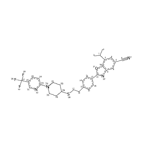 CC(C)c1cc(C#N)cc2nc(-c3ccc(CCSC4CCN(c5ccc(C(F)(F)F)cn5)CC4)cc3)oc12